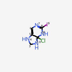 ClC12NCNC1=CN=C(I)N2